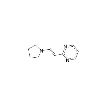 C(=CN1CCCC1)c1ncccn1